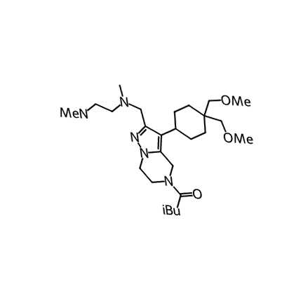 CCC(C)C(=O)N1CCn2nc(CN(C)CCNC)c(C3CCC(COC)(COC)CC3)c2C1